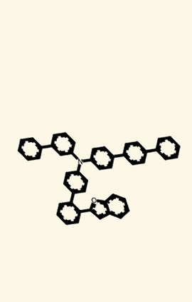 c1ccc(-c2ccc(-c3ccc(N(c4ccc(-c5ccccc5-c5cc6ccccc6o5)cc4)c4cccc(-c5ccccc5)c4)cc3)cc2)cc1